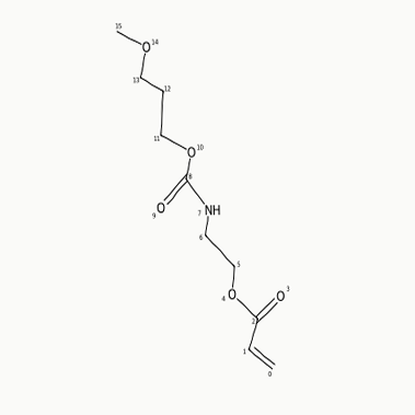 C=CC(=O)OCCNC(=O)OCCCOC